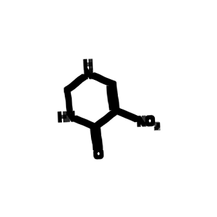 O=C1NCNC=C1[N+](=O)[O-]